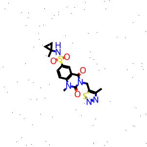 Cc1nnsc1Cn1c(=O)c2cc(S(=O)(=O)NC3(C)CC3)ccc2n(C)c1=O